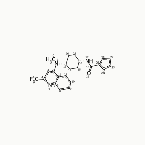 CN(c1cc(C(F)(F)F)nc2ccccc12)[C@H]1CC[C@@H](NC(=O)c2cccs2)CC1